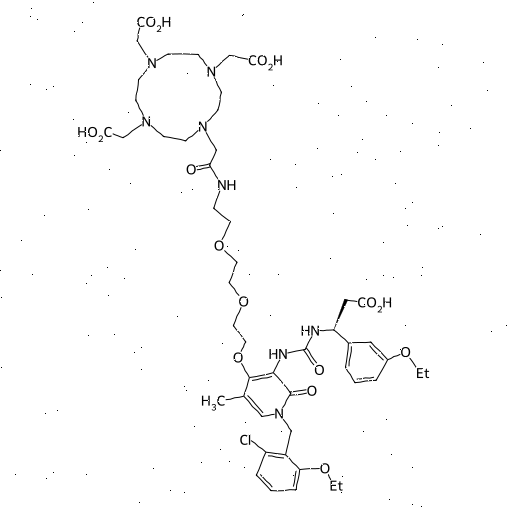 CCOc1cccc([C@H](CC(=O)O)NC(=O)Nc2c(OCCOCCOCCNC(=O)CN3CCN(CC(=O)O)CCN(CC(=O)O)CCN(CC(=O)O)CC3)c(C)cn(Cc3c(Cl)cccc3OCC)c2=O)c1